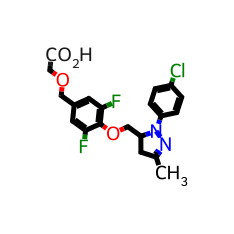 CC1=NN(c2ccc(Cl)cc2)C(COc2c(F)cc(COCC(=O)O)cc2F)C1